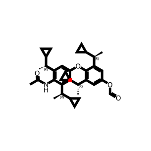 CC(=O)Nc1c([C@H](C)C2CC2)cc(Oc2c([C@H](C)C3CC3)cc(OC=O)cc2[C@H](C)C2CC2)cc1[C@H](C)C1CC1